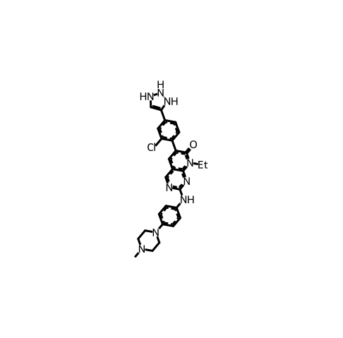 CCn1c(=O)c(-c2ccc(C3=CNNN3)cc2Cl)cc2cnc(Nc3ccc(N4CCN(C)CC4)cc3)nc21